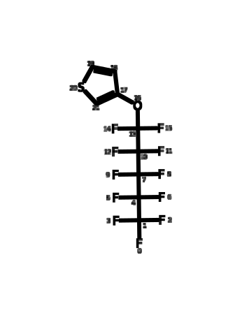 FC(F)(F)C(F)(F)C(F)(F)C(F)(F)C(F)(F)Oc1ccsc1